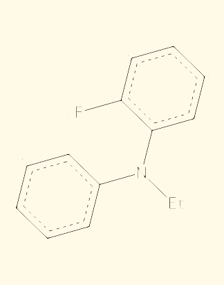 CCN(c1cc[c]cc1)c1ccccc1F